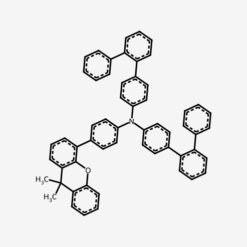 CC1(C)c2ccccc2Oc2c(-c3ccc(N(c4ccc(-c5ccccc5-c5ccccc5)cc4)c4ccc(-c5ccccc5-c5ccccc5)cc4)cc3)cccc21